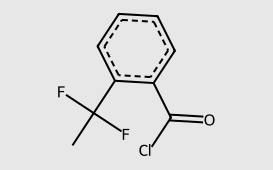 CC(F)(F)c1ccccc1C(=O)Cl